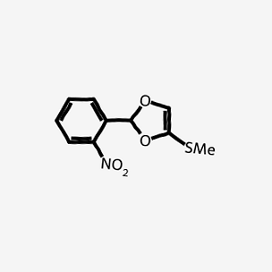 CSC1=COC(c2ccccc2[N+](=O)[O-])O1